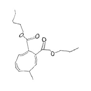 CCCOC(=O)C1=CC=CC(C)C=C1C(=O)OCCC